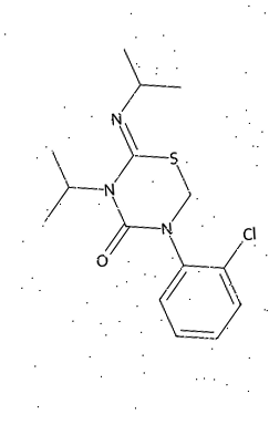 CC(C)N=C1SCN(c2ccccc2Cl)C(=O)N1C(C)C